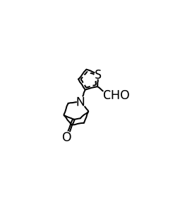 O=Cc1sccc1N1CC2CCC1CC2=O